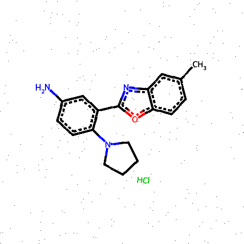 Cc1ccc2oc(-c3cc(N)ccc3N3CCCC3)nc2c1.Cl